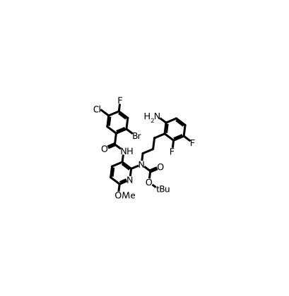 COc1ccc(NC(=O)c2cc(Cl)c(F)cc2Br)c(N(CCCc2c(N)ccc(F)c2F)C(=O)OC(C)(C)C)n1